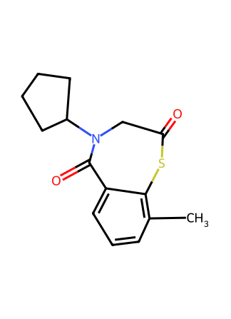 Cc1cccc2c1SC(=O)CN(C1CCCC1)C2=O